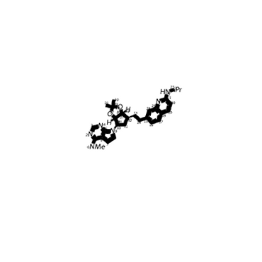 CNc1ncnc2c1ccn2[C@@H]1C[C@H](CCc2ccc3ccc(NC(C)C)nc3c2)[C@H]2OC(C)(C)O[C@H]21